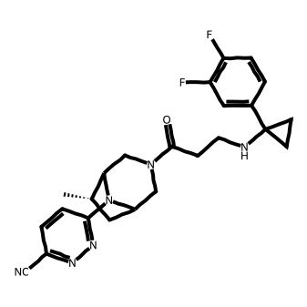 C[C@H]1CC2CN(C(=O)CCNC3(c4ccc(F)c(F)c4)CC3)CC1N2c1ccc(C#N)nn1